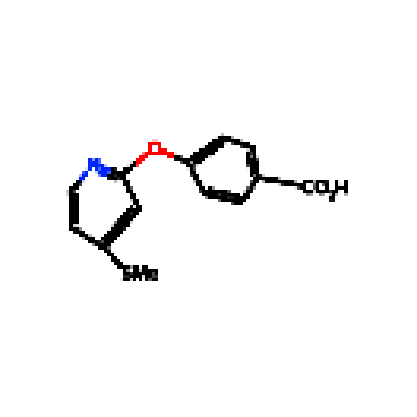 CSc1ccnc(Oc2ccc(C(=O)O)cc2)c1